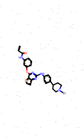 C=CC(=O)Nc1cccc(Oc2nc(Nc3ccc(C4CCN(CC)CC4)cc3)nc3ccsc23)c1